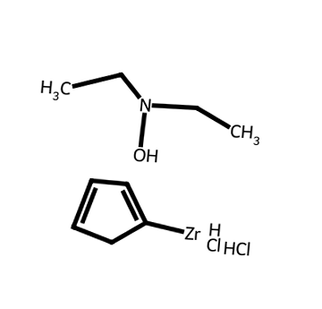 CCN(O)CC.Cl.Cl.[Zr][C]1=CC=CC1